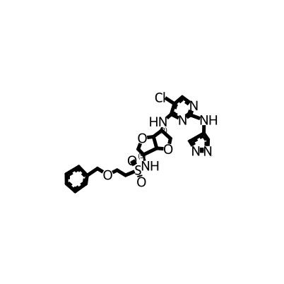 Cn1cc(Nc2ncc(Cl)c(N[C@@H]3COC4C3OC[C@@H]4NS(=O)(=O)CCOCc3ccccc3)n2)cn1